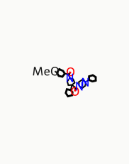 COc1ccc(C(=O)N2CCC(C(=O)N3CCN(c4ccccc4)CC3)(c3ccccc3)CC2)cc1